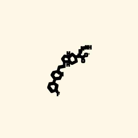 N=[N+]=NN(C(=O)[O-])C1CC[C@H]2C(C=Cc3ccc(-c4cccc(F)c4)cn3)CC[C@H]2C1